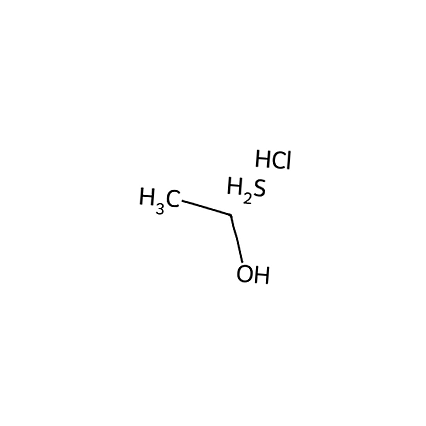 CCO.Cl.S